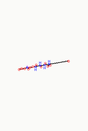 O=CCCCCCCCCCCCCCCCCCCC(=O)N[C@H](C=O)CCC(=O)NCCCC(=O)NCCCC(=O)NCCOCCOCC(=O)N(I)CCOCCOCC=O